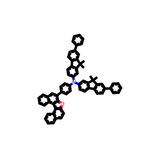 CC1(C)c2cc(-c3ccccc3)ccc2-c2ccc(N(c3ccc(-c4cc5ccccc5c5c4oc4ccc6ccccc6c45)cc3)c3ccc4c(c3)C(C)(C)c3cc(-c5ccccc5)ccc3-4)cc21